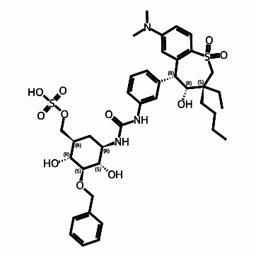 CCCC[C@]1(CC)CS(=O)(=O)c2ccc(N(C)C)cc2[C@@H](c2cccc(NC(=O)N[C@@H]3C[C@H](COS(=O)(=O)O)[C@@H](O)[C@H](OCc4ccccc4)[C@H]3O)c2)[C@H]1O